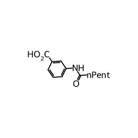 CCCCCC(=O)Nc1cccc(C(=O)O)c1